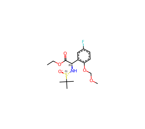 CCOC(=O)[C@H](N[S@+]([O-])C(C)(C)C)c1cc(F)ccc1OCOC